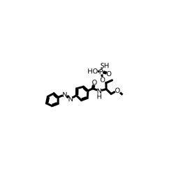 COCC(NC(=O)c1ccc(/N=N/c2ccccc2)cc1)C(C)OP(=O)(O)S